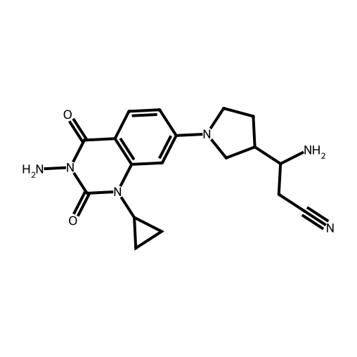 N#CCC(N)C1CCN(c2ccc3c(=O)n(N)c(=O)n(C4CC4)c3c2)C1